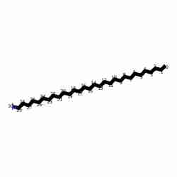 CCCCCCCCCCCCCCCCCCCCCCCCCCCCCCI